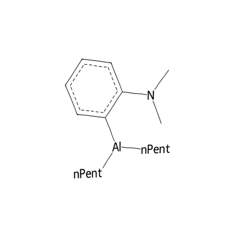 CCCC[CH2][Al]([CH2]CCCC)[c]1ccccc1N(C)C